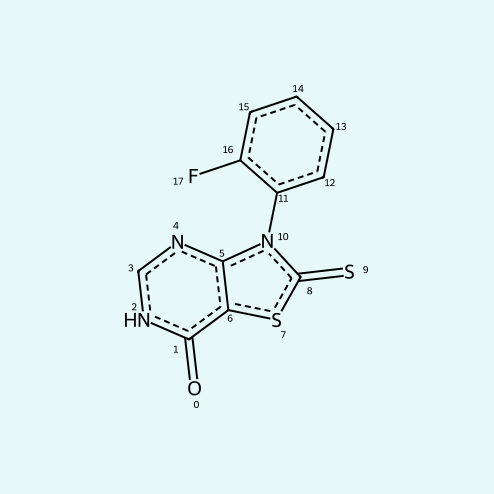 O=c1[nH]cnc2c1sc(=S)n2-c1ccccc1F